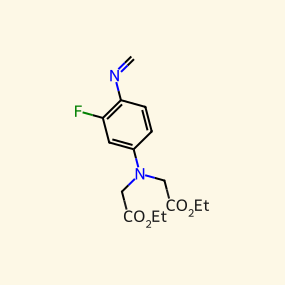 C=Nc1ccc(N(CC(=O)OCC)CC(=O)OCC)cc1F